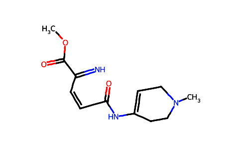 COC(=O)C(=N)/C=C\C(=O)NC1=CCN(C)CC1